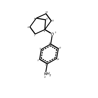 Nc1ccc(OC23CCC(CC2)C3)cc1